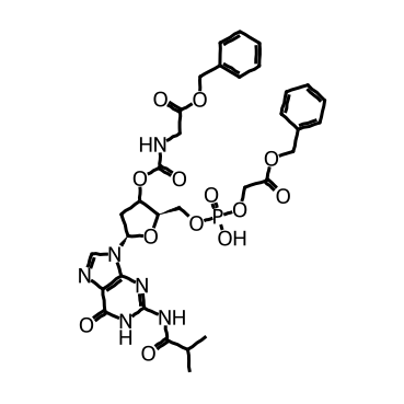 CC(C)C(=O)Nc1nc2c(ncn2[C@H]2CC(OC(=O)NCC(=O)OCc3ccccc3)[C@@H](COP(=O)(O)OCC(=O)OCc3ccccc3)O2)c(=O)[nH]1